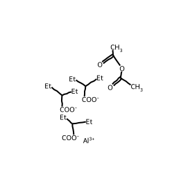 CC(=O)OC(C)=O.CCC(CC)C(=O)[O-].CCC(CC)C(=O)[O-].CCC(CC)C(=O)[O-].[Al+3]